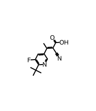 C/C(=C(/C#N)C(=O)O)c1cnc(C(C)(C)C)c(F)c1